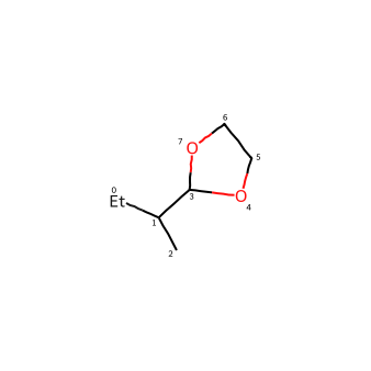 [CH2]CC(C)C1OCCO1